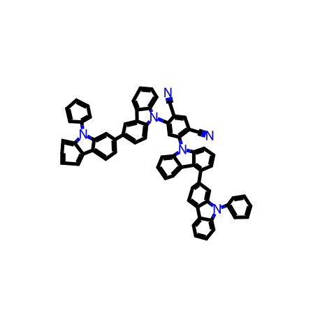 N#Cc1cc(C#N)c(-n2c3ccccc3c3c(-c4ccc5c6ccccc6n(-c6ccccc6)c5c4)cccc32)cc1-n1c2ccccc2c2cc(-c3ccc4c5ccccc5n(-c5ccccc5)c4c3)ccc21